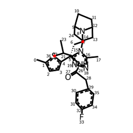 Cc1ccc([C@H](CCN2C3CCC2CC(n2c(C)nnc2C(C)C)C3)NC(=O)Cc2ccc(F)cc2)s1